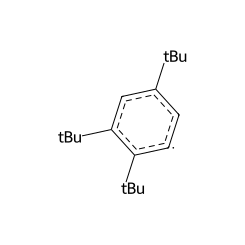 CC(C)(C)c1c[c]c(C(C)(C)C)c(C(C)(C)C)c1